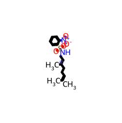 CC(C)=CCC/C(C)=C/CNS(=O)(=O)c1ccccc1[N+](=O)[O-]